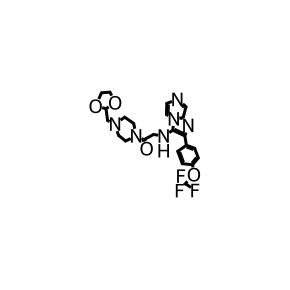 O=C(CNc1c(-c2ccc(OC(F)(F)F)cc2)nc2cnccn12)N1CCN(CC2OCCO2)CC1